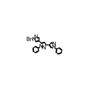 Brn1cc(-c2cc(-c3cnn(-c4ccccc4)c3)nn2-c2ccccc2)cn1